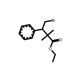 CCOC(=O)C(C)(C)C(CBr)c1ccccc1